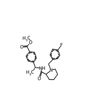 COC(=O)c1ccc([C@H](C)NC(=O)C2CCCCN2Cc2ccc(F)cc2)cc1